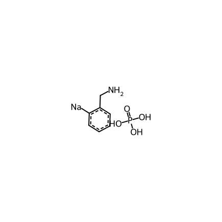 NCc1cccc[c]1[Na].O=P(O)(O)O